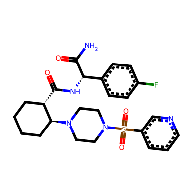 NC(=O)[C@@H](NC(=O)[C@H]1CCCC[C@@H]1N1CCN(S(=O)(=O)c2cccnc2)CC1)c1ccc(F)cc1